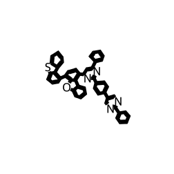 c1ccc(-c2cc(-c3ccc(-c4cccc5sc6ccccc6c45)c4oc5ccccc5c34)nc(-c3ccc(-c4cnc(-c5ccccc5)nc4)cc3)n2)cc1